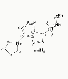 CC(C)(C)[NH][Ti]([CH3])([CH3])[CH]1C=Cc2c1cccc2N1CCCC1.[SiH4]